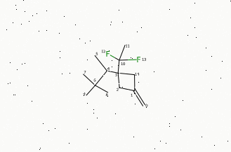 C=C1CC(C(C)C(C)(C)C)(C(C)(F)F)C1